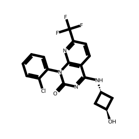 O=c1nc(N[C@H]2C[C@H](O)C2)c2ccc(C(F)(F)F)nc2n1-c1ccccc1Cl